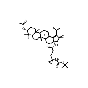 CC(=O)O[C@H]1CC[C@@]2(C)C(CCC3(C)C2CCC2C4=C(C(C)C)C(=O)C[C@]4(NC(=O)OCC4(NC(=O)OC(C)(C)C)CC4)CC[C@]23C)C1(C)C